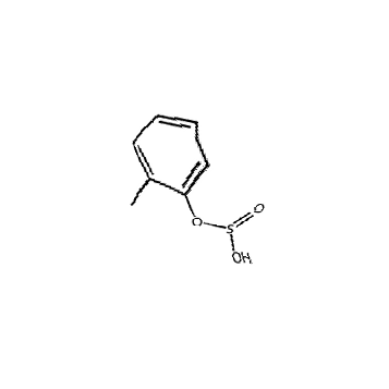 Cc1ccccc1OS(=O)O